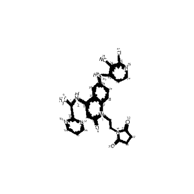 CC(Nc1cc(=O)n(CCN2C(=O)CCC2=O)c2ccc(Nc3ccnc(Cl)c3C#N)cc12)c1ncccn1